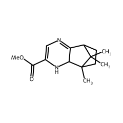 COC(=O)C1=CN=C2C3CCC(C)(C2N1)C3(C)C